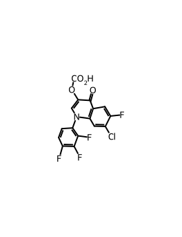 O=C(O)Oc1cn(-c2ccc(F)c(F)c2F)c2cc(Cl)c(F)cc2c1=O